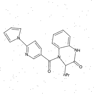 CCCC1C(=O)Nc2ccccc2N1C(=O)c1ccc(-n2cccc2)nc1